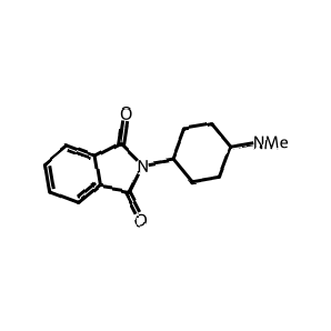 CNC1CCC(N2C(=O)c3ccccc3C2=O)CC1